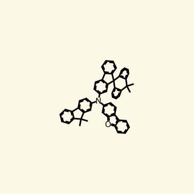 CC1(C)c2ccccc2-c2ccc(N(c3ccc4c(c3)C3(c5ccccc5-4)c4ccccc4C(C)(C)c4ccccc43)c3ccc4c(c3)oc3ccccc34)cc21